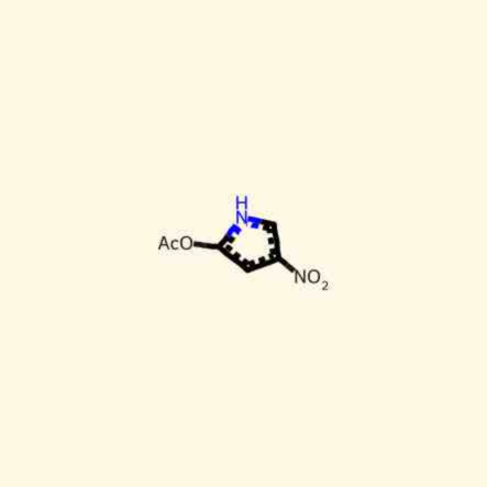 CC(=O)Oc1cc([N+](=O)[O-])c[nH]1